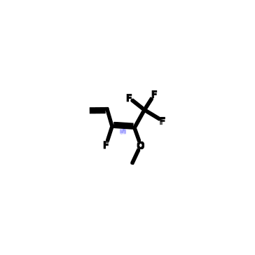 C=C/C(F)=C(/OC)C(F)(F)F